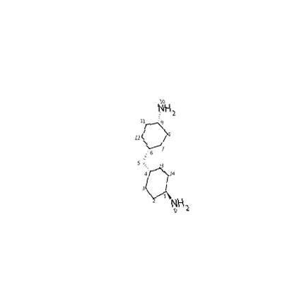 N[C@H]1CC[C@H](C[C@H]2CC[C@@H](N)CC2)CC1